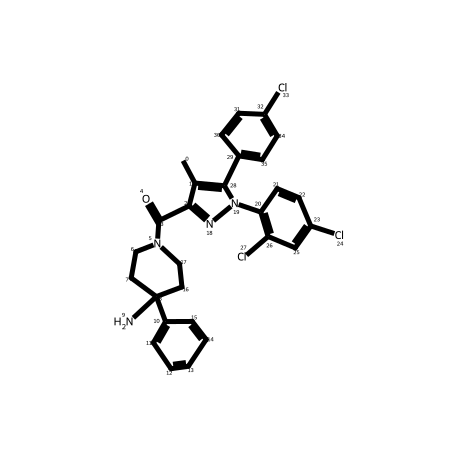 Cc1c(C(=O)N2CCC(N)(c3ccccc3)CC2)nn(-c2ccc(Cl)cc2Cl)c1-c1ccc(Cl)cc1